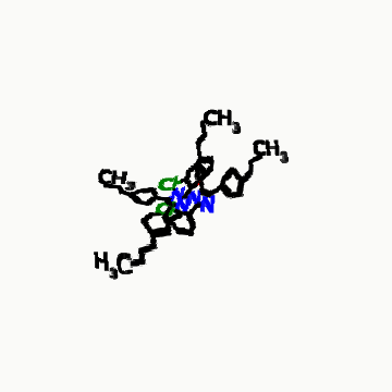 CCCCc1ccc(C2=NC(c3ccccc3Cl)(n3c(-c4ccccc4Cl)nc(-c4ccc(CCCC)cc4)c3-c3ccc(CCCC)cc3)N=C2c2ccc(CCCC)cc2)cc1